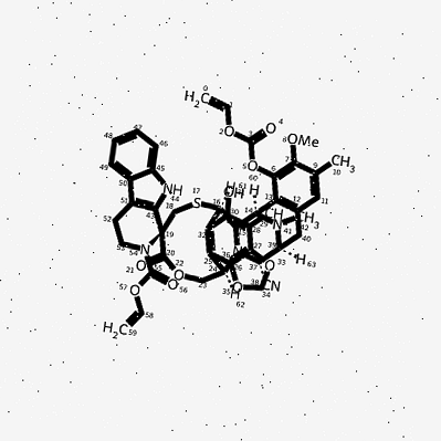 C=COC(=O)Oc1c(OC)c(C)cc2c1[C@@H]1C3[C@@H]4SC[C@]5(C(=O)OC[C@@H](c6c7c(c(C)c(O)c64)OCO7)N3[C@@H](C#N)[C@H](C2)N1C)c1[nH]c2ccccc2c1CCN5C(=O)OC=C